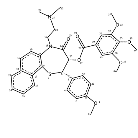 COc1ccc([C@@H]2Sc3c(ccc4ccccc34)N(CCN(C)C)C(=O)[C@@H]2OC(=O)c2cc(OC)c(OC)c(OC)c2)cc1